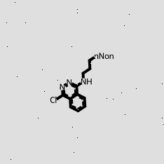 CCCCCCCCCCCCNc1nnc(Cl)c2ccccc12